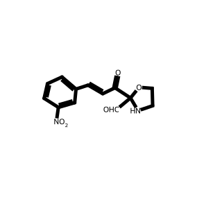 O=CC1(C(=O)C=Cc2cccc([N+](=O)[O-])c2)NCCO1